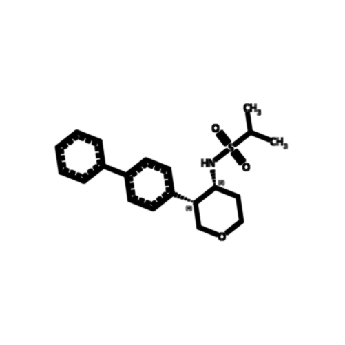 CC(C)S(=O)(=O)N[C@@H]1CCOC[C@@H]1c1ccc(-c2ccccc2)cc1